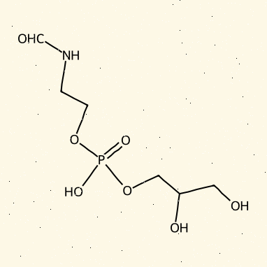 O=CNCCOP(=O)(O)OCC(O)CO